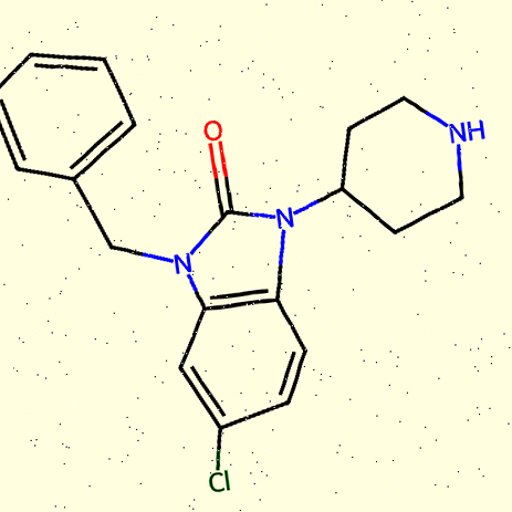 O=c1n(Cc2ccccc2)c2cc(Cl)ccc2n1C1CCNCC1